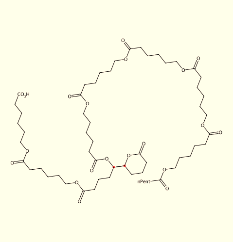 CCCCCC(=O)OCCCCCC(=O)OCCCCCC(=O)OCCCCCC(=O)OCCCCCC(=O)OCCCCCC(=O)OCCCCCC(=O)OCCCCCC(=O)OCCCCCC(=O)OCCCCCC(=O)O